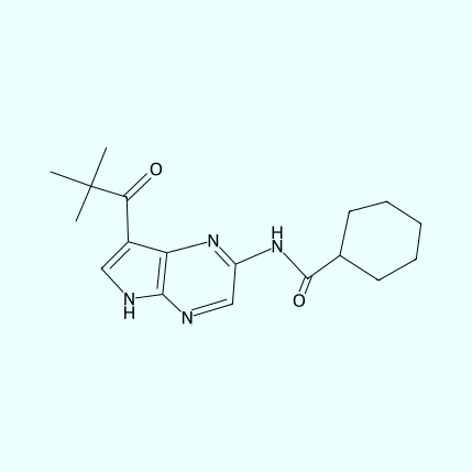 CC(C)(C)C(=O)c1c[nH]c2ncc(NC(=O)C3CCCCC3)nc12